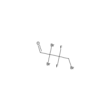 O=CC(Br)(Br)C(F)(F)CBr